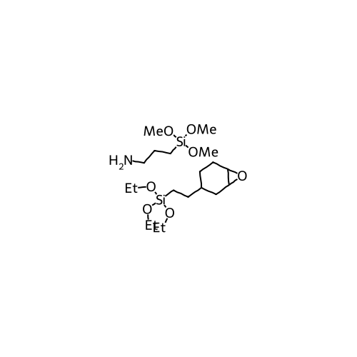 CCO[Si](CCC1CCC2OC2C1)(OCC)OCC.CO[Si](CCCN)(OC)OC